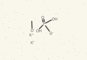 C[O-].O=P([O-])(O)O.[K+].[K+]